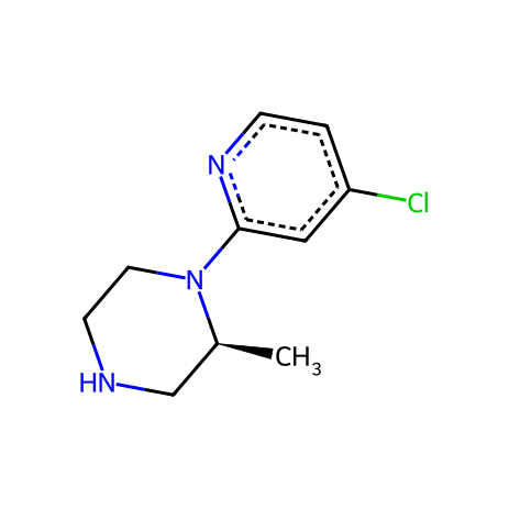 C[C@H]1CNCCN1c1cc(Cl)ccn1